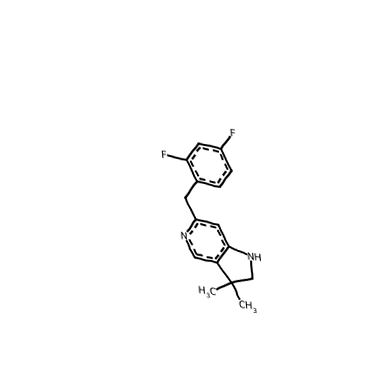 CC1(C)CNc2cc(Cc3ccc(F)cc3F)ncc21